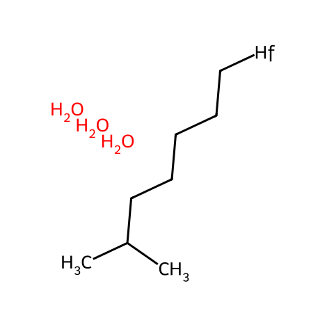 CC(C)CCCC[CH2][Hf].O.O.O